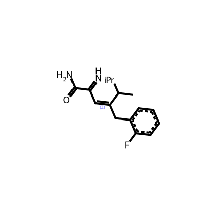 CC(C)C(C)/C(=C\C(=N)C(N)=O)Cc1ccccc1F